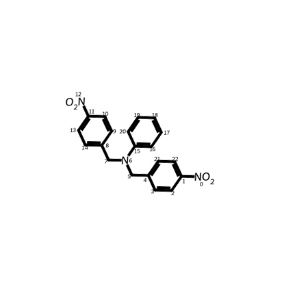 O=[N+]([O-])c1ccc(CN(Cc2ccc([N+](=O)[O-])cc2)c2ccccc2)cc1